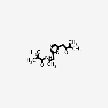 CC(Cc1cncc(CC(=O)C(C)C)n1)NC(=O)C(C)C